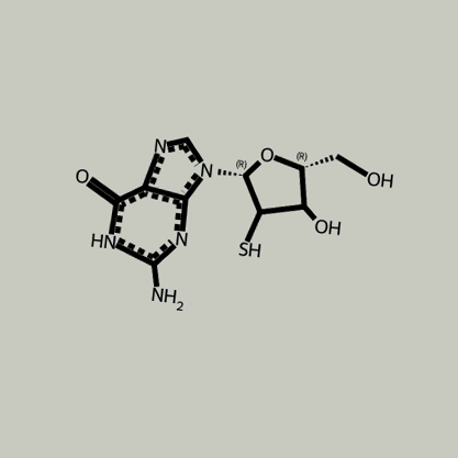 Nc1nc2c(ncn2[C@@H]2O[C@H](CO)C(O)C2S)c(=O)[nH]1